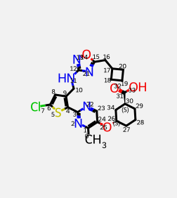 Cc1nc(-c2sc(Cl)cc2CNc2noc(CC3CCC3)n2)ncc1O[C@H]1CCC[C@H](C(=O)O)C1